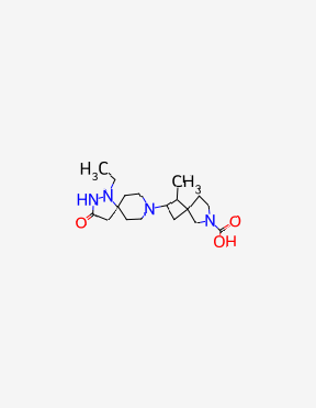 CCN1NC(=O)CC12CCN(C1CC3(CCN(C(=O)O)C3)C1C)CC2